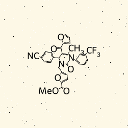 COC(=O)c1ccc(CN2C(=O)N(c3cccc(C(F)(F)F)c3)C(C)=C(C(=O)c3ccco3)C2c2ccc(C#N)cc2)o1